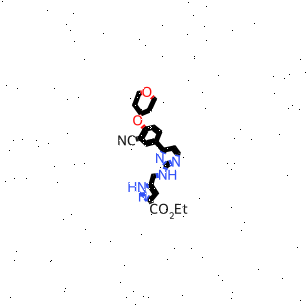 CCOC(=O)c1cc(CNc2nccc(-c3ccc(OC4CCOCC4)c(C#N)c3)n2)[nH]n1